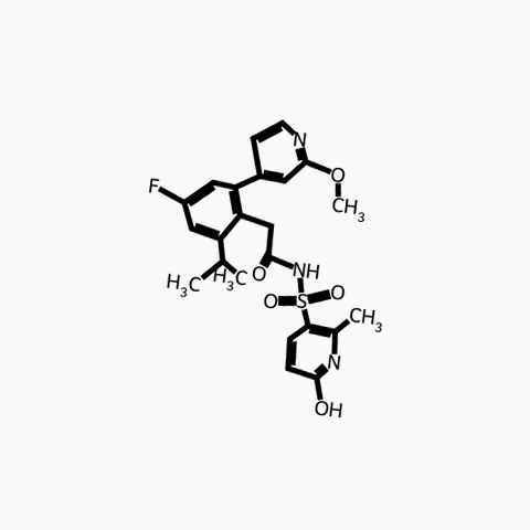 COc1cc(-c2cc(F)cc(C(C)C)c2CC(=O)NS(=O)(=O)c2ccc(O)nc2C)ccn1